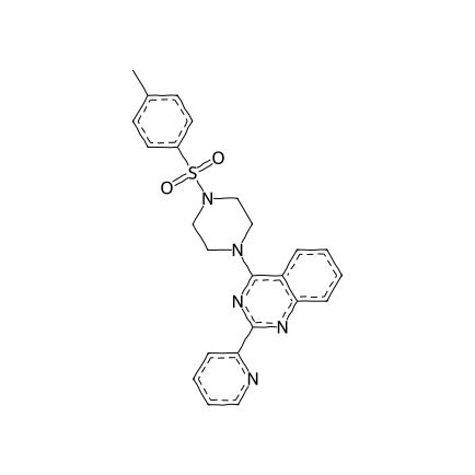 Cc1ccc(S(=O)(=O)N2CCN(c3nc(-c4ccccn4)nc4ccccc34)CC2)cc1